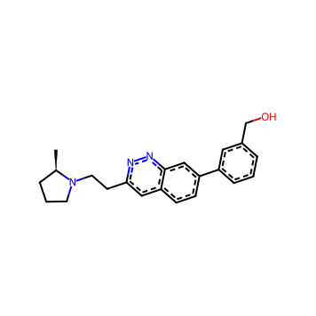 C[C@@H]1CCCN1CCc1cc2ccc(-c3cccc(CO)c3)cc2nn1